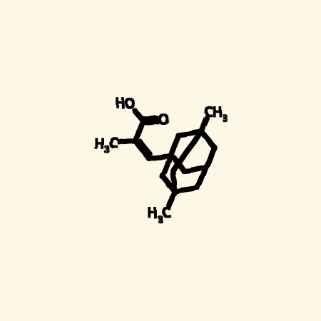 CC(=CC12CC3CC(C)(CC(C)(C3)C1)C2)C(=O)O